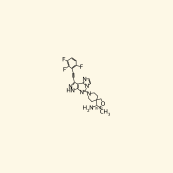 C[C@@H]1OCC2(CCN(c3nc4[nH]nc(C#Cc5c(F)ccc(F)c5F)c4c4nccn34)CC2)[C@@H]1N